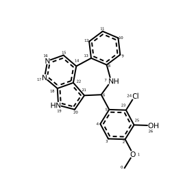 COc1ccc(C2Nc3ccccc3-c3cnnc4[nH]cc2c34)c(Cl)c1O